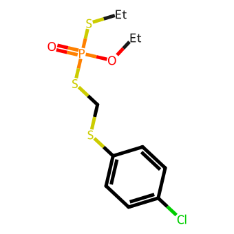 CCOP(=O)(SCC)SCSc1ccc(Cl)cc1